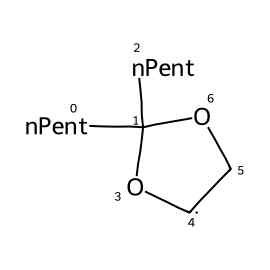 CCCCCC1(CCCCC)O[CH]CO1